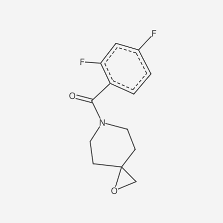 O=C(c1ccc(F)cc1F)N1CCC2(CC1)CO2